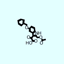 CC(=O)OCc1[nH]c2ccc(OCc3ccccc3)cc2c1C(=O)C(=O)O